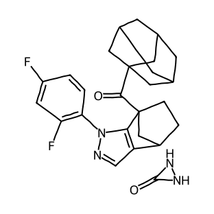 O=C(C12CC3CC(CC(C3)C1)C2)C12CCC(C1)c1cnn(-c3ccc(F)cc3F)c12.O=C1NN1